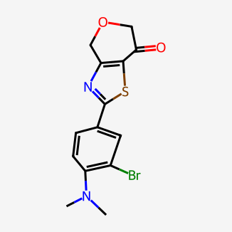 CN(C)c1ccc(-c2nc3c(s2)C(=O)COC3)cc1Br